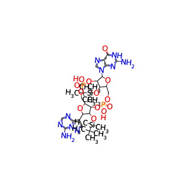 CC(C)(C)[Si](C)(C)OC1C2COP(=O)(O)OC3C(COP(=O)(O)OC1C(n1cnc4c(=O)[nH]c(N)nc41)O2)OC(c1cnn2c(N)ncnc12)C3O[Si](C)(C)C(C)(C)C